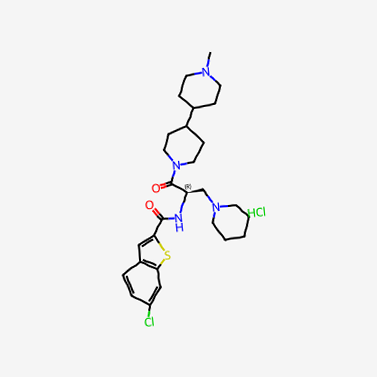 CN1CCC(C2CCN(C(=O)[C@@H](CN3CCCCC3)NC(=O)c3cc4ccc(Cl)cc4s3)CC2)CC1.Cl